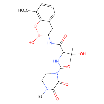 CCN1CCN(C(=O)NC(C(=O)NC2Cc3cccc(C(=O)O)c3OB2O)C(C)(C)O)C(=O)C1=O